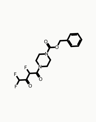 O=C(C(F)F)C(F)C(=O)N1CCN(C(=O)OCc2ccccc2)CC1